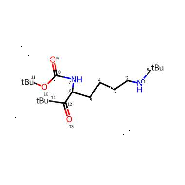 CC(C)(C)NCCCCC(NC(=O)OC(C)(C)C)C(=O)C(C)(C)C